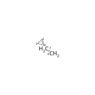 C1=CC1.C=C